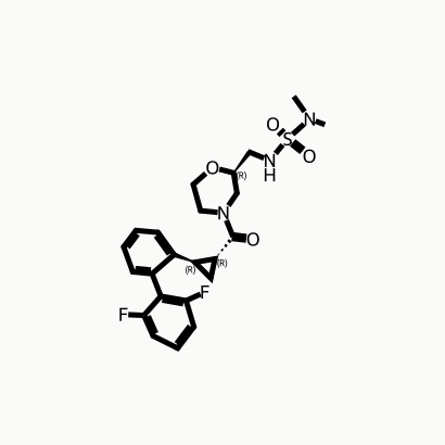 CN(C)S(=O)(=O)NC[C@H]1CN(C(=O)[C@@H]2C[C@H]2c2ccccc2-c2c(F)cccc2F)CCO1